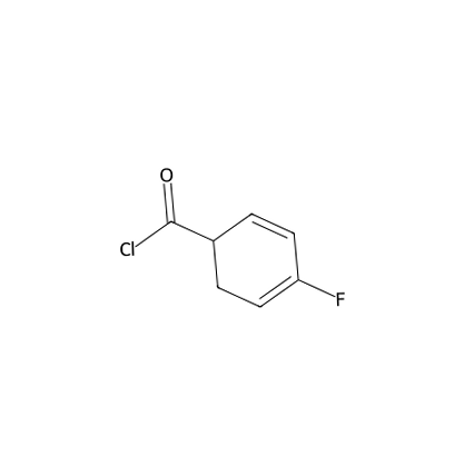 O=C(Cl)C1C=CC(F)=CC1